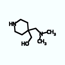 CN(C)CC1(CO)CCNCC1